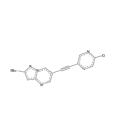 CC(C)(C)c1cc2ncc(C#Cc3ccc(Cl)nc3)cn2n1